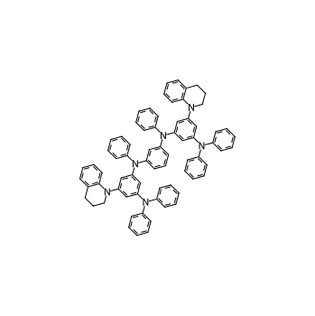 c1ccc(N(c2ccccc2)c2cc(N3CCCc4ccccc43)cc(N(c3ccccc3)c3cccc(N(c4ccccc4)c4cc(N5CCCc6ccccc65)cc(N(c5ccccc5)c5ccccc5)c4)c3)c2)cc1